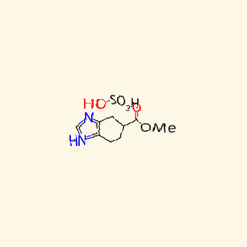 COC(=O)C1CCc2[nH]cnc2C1.O=S(=O)(O)O